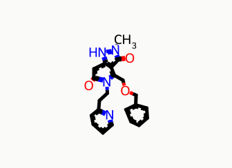 Cn1[nH]c2cc(=O)n(CCc3ccccn3)c(COCc3ccccc3)c2c1=O